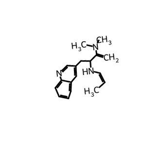 C=C(C(Cc1cnc2ccccc2c1)N/C=C\C)N(C)C